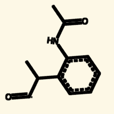 CC(=O)Nc1ccccc1C(C)[C]=O